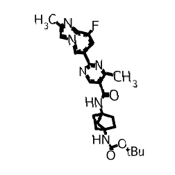 Cc1cn2cc(-c3ncc(C(=O)NC45CCC(NC(=O)OC(C)(C)C)(CC4)C5)c(C)n3)cc(F)c2n1